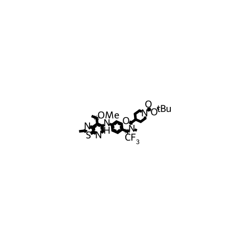 CO[C@@H](C)c1c(Nc2ccc([C@H](N(C)C(=O)C3CCN(C(=O)OC(C)(C)C)CC3)C(F)(F)F)cc2)cnc2sc(C)nc12